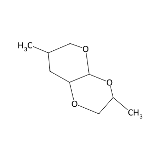 CC1COC2OC(C)COC2C1